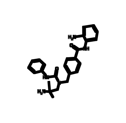 CC(C)(N)CN(Cc1ccc(C(=O)Nc2ccccc2N)cc1)C(=O)Nc1ccccc1